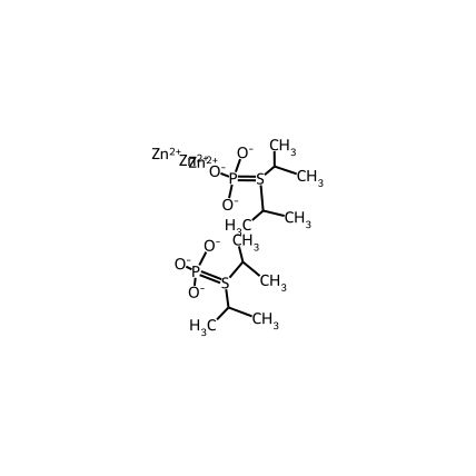 CC(C)S(C(C)C)=P([O-])([O-])[O-].CC(C)S(C(C)C)=P([O-])([O-])[O-].[Zn+2].[Zn+2].[Zn+2]